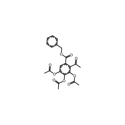 CC(=O)Oc1cc(C(=O)OCc2ccccc2)c(C(C)=O)c(OC(C)=O)c1OC(C)=O